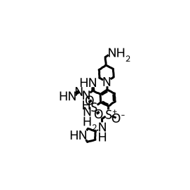 N=NNC(=N)c1c(N2CCC(CN)CC2)ccc([S+]([O-])CN[C@@H]2CCNC2)c1S(N)(=O)=O